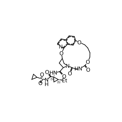 CC[C@H]1C[C@@]1(NC(=O)C1CC2CN1C(=O)CNC(=O)OCCCCOc1ccc3ccnc(c3c1)O2)C(=O)NS(=O)(=O)C1CC1